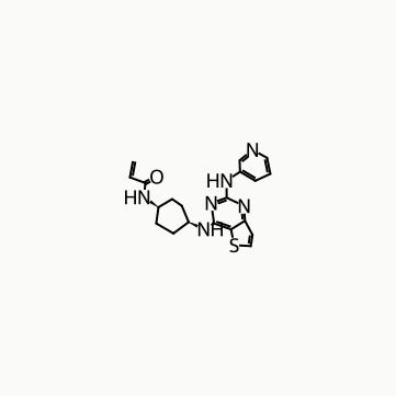 C=CC(=O)N[C@H]1CC[C@@H](Nc2nc(Nc3cccnc3)nc3ccsc23)CC1